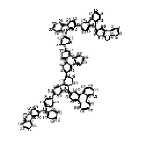 c1ccc2c(c1)oc1ccc(-n3c4ccccc4c4cc(-c5ccc6c7ccccc7n(-c7ccc(-c8ccc9c%10ccc(-c%11ccc%12c(c%11)c%11ccc(-c%13ccc%14c(c%13)c%13ccccc%13n%14-c%13ccc%14oc%15ccccc%15c%14c%13)cc%11n%12-c%11ccc%12c%13ccccc%13c%13ccccc%13c%12c%11)cc%10c%10ccccc%10c9c8)cc7)c6c5)ccc43)cc12